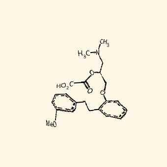 COc1cccc(CCc2ccccc2OC[C@H](CN(C)C)OC(=O)C(=O)O)c1